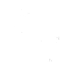 N#Cc1ccc(CC(=O)O)cc1C#N